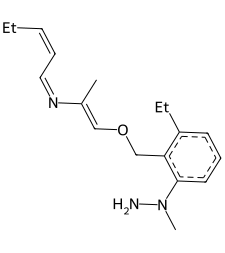 CC\C=C/C=N\C(C)=C\OCc1c(CC)cccc1N(C)N